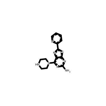 Nc1nc(N2CCNCC2)c2nc(-c3ccccn3)sc2n1